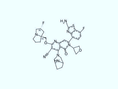 N#Cc1c(OC[C@@]23CCCN2C[C@H](F)C3)nc2cc(-c3ccc(F)c4sc(N)nc34)n(C3COC3)c(=O)c2c1N1CC2CCC(C1)N2